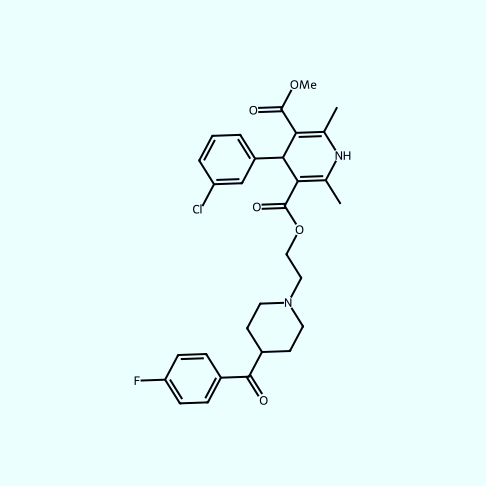 COC(=O)C1=C(C)NC(C)=C(C(=O)OCCN2CCC(C(=O)c3ccc(F)cc3)CC2)C1c1cccc(Cl)c1